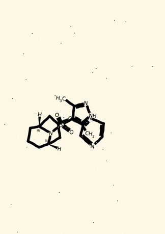 Cc1n[nH]c(C)c1S(=O)(=O)N1[C@@H]2CCC[C@H]1CC(Oc1cnccn1)C2